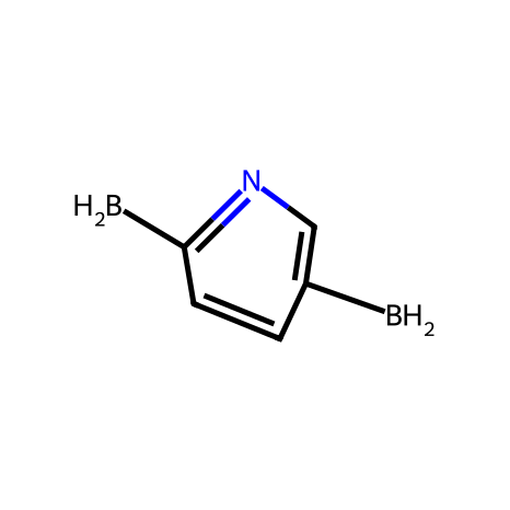 Bc1ccc(B)nc1